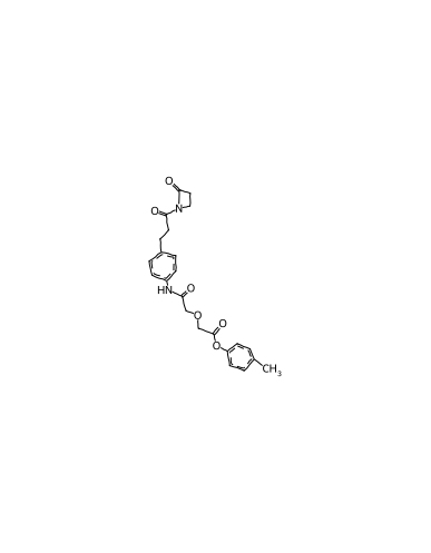 Cc1ccc(OC(=O)COCC(=O)Nc2ccc(CCC(=O)N3CCC3=O)cc2)cc1